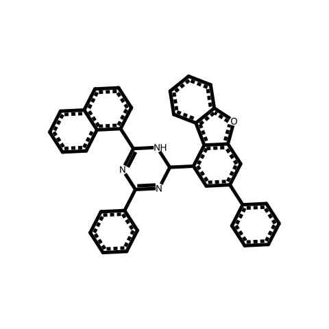 c1ccc(C2=NC(c3cc(-c4ccccc4)cc4oc5ccccc5c34)NC(c3cccc4ccccc34)=N2)cc1